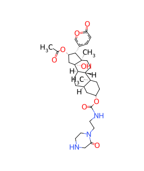 CC(=O)O[C@H]1C[C@]2(O)[C@@H]3CC[C@@H]4C[C@@H](OC(=O)NCCN5CCNCC5=O)CC[C@]4(C)[C@H]3CC[C@]2(C)[C@H]1c1ccc(=O)oc1